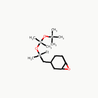 CC[Si](C)(CC1CCC2OC2C1)O[Si](C)(C)O[Si](C)(C)C